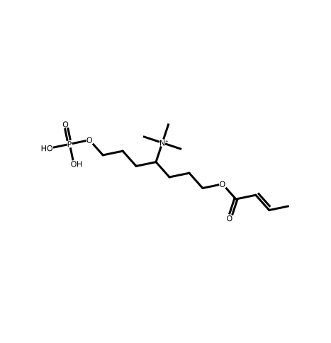 CC=CC(=O)OCCCC(CCCOP(=O)(O)O)[N+](C)(C)C